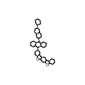 c1ccc(-c2ccc3cc(-c4c5ccccc5c(-c5ccc6oc7cc8oc9ccccc9c8cc7c6c5)c5ccccc45)ccc3c2)cc1